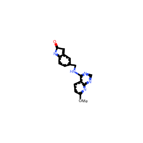 COc1ccc2c(NCc3ccc4c(c3)=CC(=O)N=4)ncnc2n1